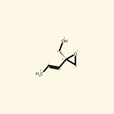 C/C=C/[C@]1(CO)CO1